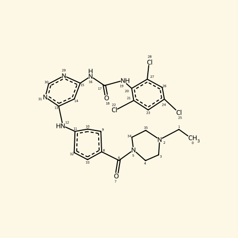 CCN1CCN(C(=O)c2ccc(Nc3cc(NC(=O)Nc4c(Cl)cc(Cl)cc4Cl)ncn3)cc2)CC1